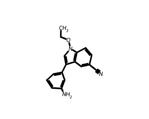 CCOn1cc(-c2cccc(N)c2)c2cc(C#N)ccc21